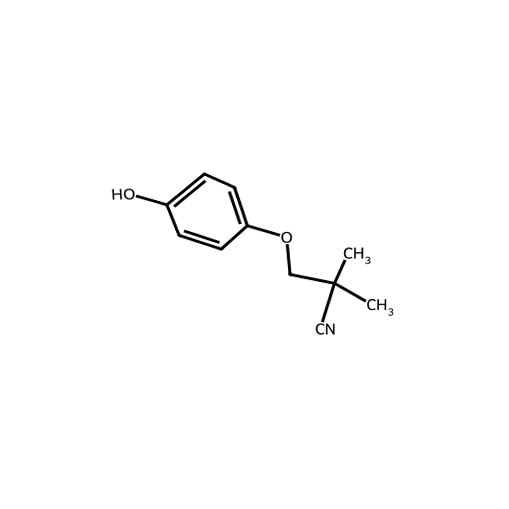 CC(C)(C#N)COc1ccc(O)cc1